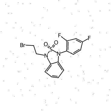 O=S1(=O)N(CCBr)c2ccccc2N1c1ccc(F)cc1F